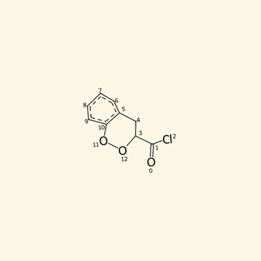 O=C(Cl)C1Cc2ccccc2OO1